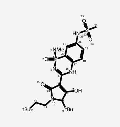 CNP1(=O)N=C(C2=C(O)C(C(C)(C)C)N(CCC(C)(C)C)C2=O)Nc2ccc(NS(C)(=O)=O)cc21